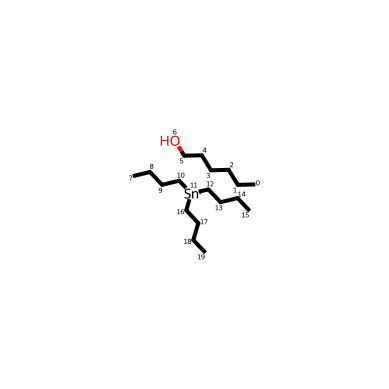 CCCCCCO.CCC[CH2][Sn]([CH2]CCC)[CH2]CCC